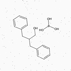 OB(O)O.OCC(Cc1ccccc1)Cc1ccccc1